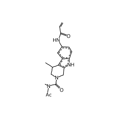 C=CC(=O)Nc1ccc2[nH]c3c(c2c1)C(C)CN(C(=O)N(C)C(C)=O)C3